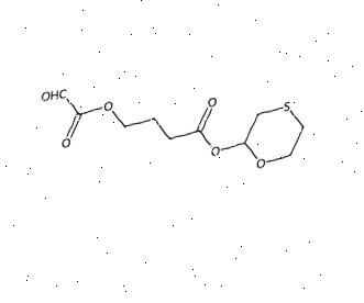 O=CC(=O)OCCCC(=O)OC1CSCCO1